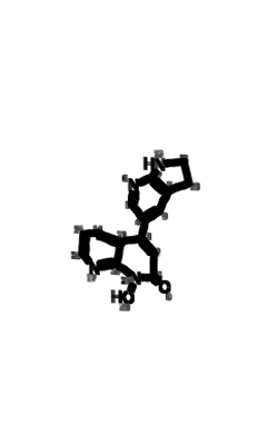 O=c1cc(-c2cnc3c(c2)CCN3)c2cccnc2n1O